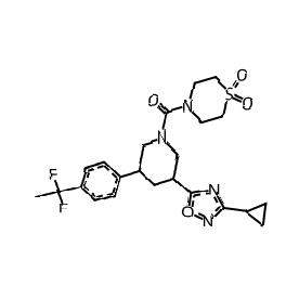 CC(F)(F)c1ccc(C2CC(c3nc(C4CC4)no3)CN(C(=O)N3CCS(=O)(=O)CC3)C2)cc1